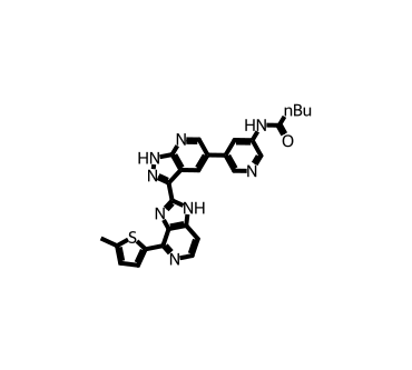 CCCCC(=O)Nc1cncc(-c2cnc3[nH]nc(-c4nc5c(-c6ccc(C)s6)nccc5[nH]4)c3c2)c1